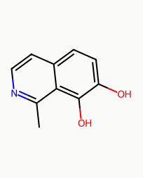 Cc1nccc2ccc(O)c(O)c12